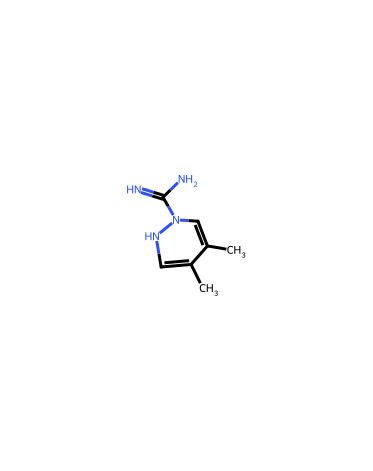 CC1=CNN(C(=N)N)C=C1C